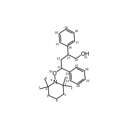 CC1(C)CCCC(C)(C)N1OC(CC(CO)c1ccccc1)c1ccccc1